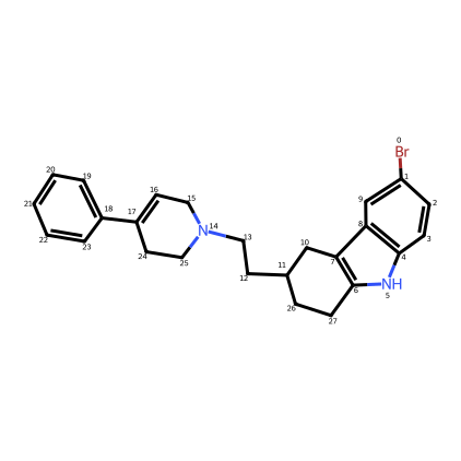 Brc1ccc2[nH]c3c(c2c1)CC(CCN1CC=C(c2ccccc2)CC1)CC3